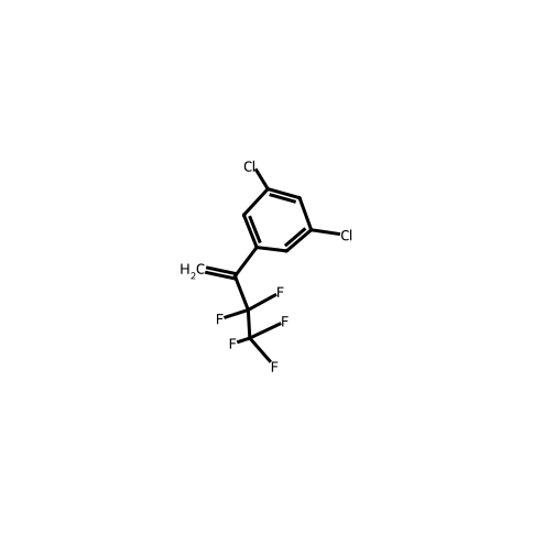 C=C(c1cc(Cl)cc(Cl)c1)C(F)(F)C(F)(F)F